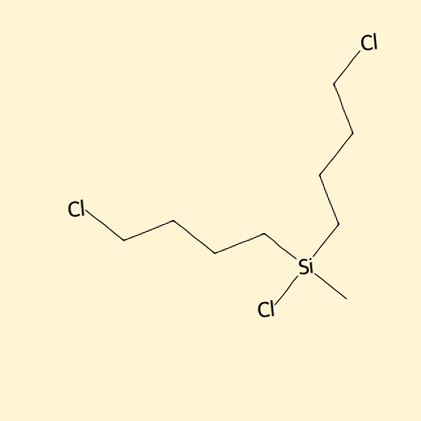 C[Si](Cl)(CCCCCl)CCCCCl